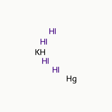 I.I.I.I.[Hg].[KH]